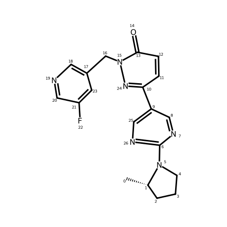 C[C@H]1CCCN1c1ncc(-c2ccc(=O)n(Cc3cncc(F)c3)n2)cn1